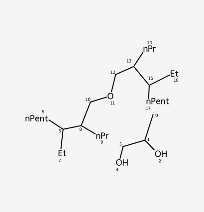 CC(O)CO.CCCCCC(CC)C(CCC)COCC(CCC)C(CC)CCCCC